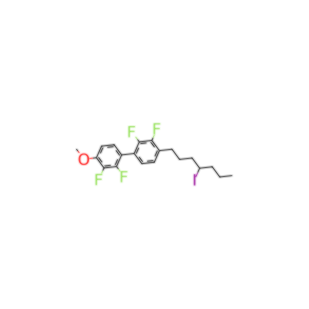 CCCC(I)CCCc1ccc(-c2ccc(OC)c(F)c2F)c(F)c1F